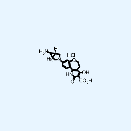 Cl.NC1[C@H]2CN(c3ccc4c(c3)OCCc3c-4[nH]c(=O)c(C(=O)O)c3O)C[C@@H]12